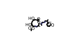 COc1cccc(C(C)/C=C/C=C(\C)[C@H]2OC(=O)C[C@@H](O)CC[C@](C)(O)[C@H](OC(C)=O)/C=C/[C@@H]2C)n1